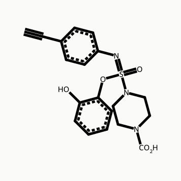 C#Cc1ccc(N=S(=O)(Oc2ccccc2O)N2CCN(C(=O)O)CC2)cc1